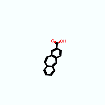 O=C(O)c1ccc2c(c1)C=CC1C=CC=CC1=C2